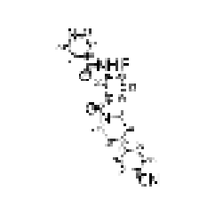 N#Cc1ccc(C2CCN(C(=O)c3ccc(F)c(NC(=O)c4ccncc4)c3)CC2)cc1